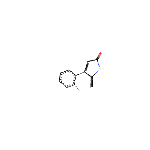 C=C1NC(=O)C=C1c1ccccc1Cl